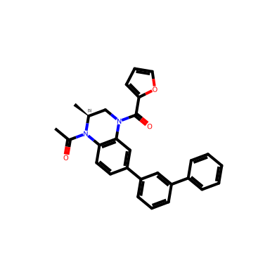 CC(=O)N1c2ccc(-c3cccc(-c4ccccc4)c3)cc2N(C(=O)c2ccco2)C[C@@H]1C